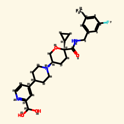 O=C(NCc1cc(F)cc(C(F)(F)F)c1)[C@@]1(C2CC2)CC[C@@H](N2CCC(c3ccnc(C(O)O)c3)CC2)CO1